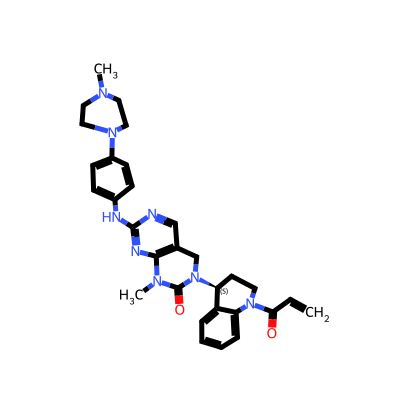 C=CC(=O)N1CC[C@H](N2Cc3cnc(Nc4ccc(N5CCN(C)CC5)cc4)nc3N(C)C2=O)c2ccccc21